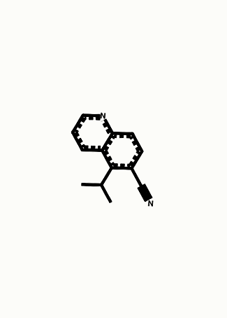 CC(C)c1c(C#N)ccc2ncccc12